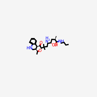 CCCCNC(=O)[C@H](C)C[C@H](O)[C@@H](N)CC(C)(C)CC(=O)[C@@H]1c2ccccc2NC[C@@H]1C(C)=O